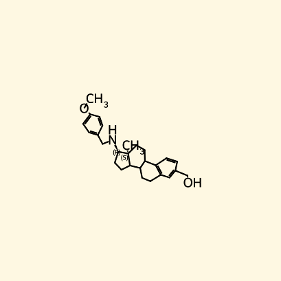 COc1ccc(CN[C@@H]2CCC3C4CCc5cc(CO)ccc5C4CC[C@@]32C)cc1